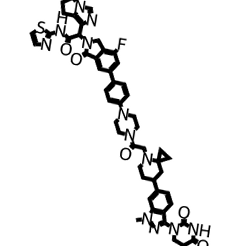 Cn1nc(N2CCC(=O)NC2=O)c2ccc(C3CCN(CC(=O)N4CCN(c5ccc(-c6cc(F)c7c(c6)C(=O)N(C(C(=O)Nc6nccs6)c6ncn8c6CCC8)C7)cc5)CC4)C4(CC4)C3)cc21